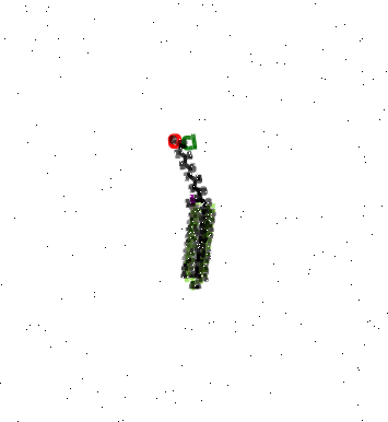 O=C(Cl)CCCCCCCCC(I)CC(F)(F)C(F)(F)C(F)(F)C(F)(F)C(F)(F)C(F)(F)C(F)(F)C(F)(F)C(F)(F)C(F)(F)F